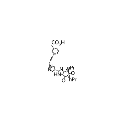 CCCn1c(=O)c2[nH]c(-c3cnn(CC#Cc4cccc(CC(=O)O)c4)c3)nc2n(CCC)c1=O